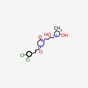 C[C@@H]1C[C@H](O)CN(C[C@H](O)CCN2CCN(C(=O)C=Cc3ccc(Cl)c(Cl)c3)CCC2=O)C1